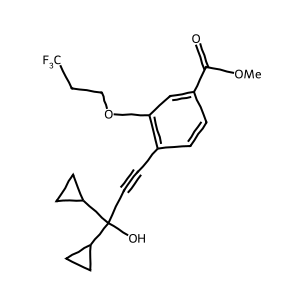 COC(=O)c1ccc(C#CC(O)(C2CC2)C2CC2)c(OCCC(F)(F)F)c1